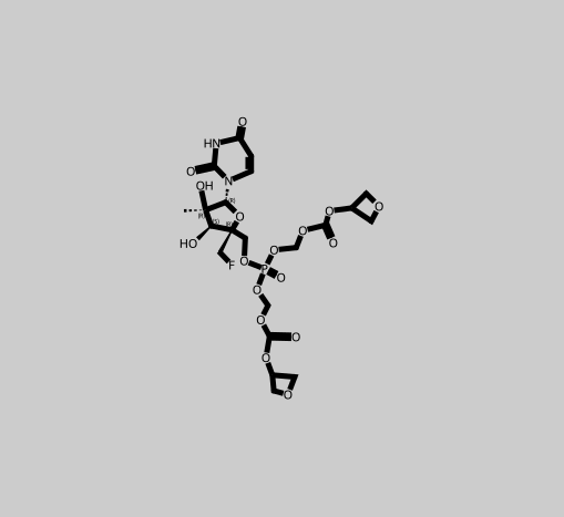 C[C@@]1(O)[C@H](O)[C@@](CF)(COP(=O)(OCOC(=O)OC2COC2)OCOC(=O)OC2COC2)O[C@H]1n1ccc(=O)[nH]c1=O